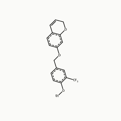 CCOc1ccc(COc2ccc3c(c2)OCC=C3)cc1C(F)(F)F